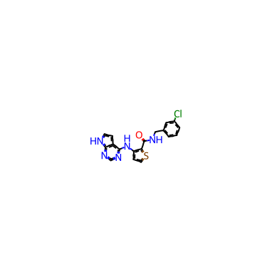 O=C(NCc1cccc(Cl)c1)c1sccc1Nc1ncnc2[nH]ccc12